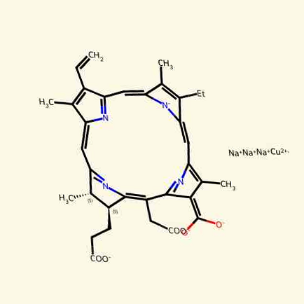 C=CC1=C(C)C2=CC3=NC(=C(CC(=O)[O-])C4=NC(=C(C)C4=C([O-])[O-])C=c4[n-]c(c(C)c4CC)=CC1=N2)[C@@H](CCC(=O)[O-])[C@@H]3C.[Cu+2].[Na+].[Na+].[Na+]